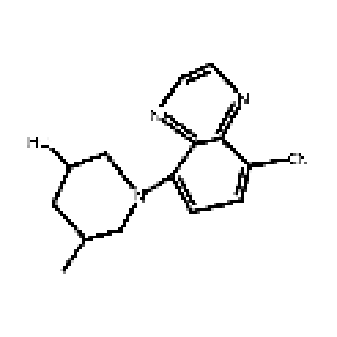 CC1CC(O)CN(c2ccc(C#N)c3nccnc23)C1